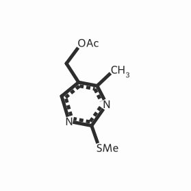 CSc1ncc(COC(C)=O)c(C)n1